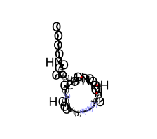 COCCOCCOCCOCCNC(=O)O[C@@H]1CC[C@@H](C[C@@H](C)[C@@H]2CC(=O)[C@H](C)/C=C(\C)[C@@H](O)[C@@H](OC)C(=O)[C@H](C)C[C@H](C)/C=C/C=C/C=C(\C)[C@@H](OC)C[C@@H]3CC[C@@H](C)[C@@](O)(O3)C(=O)C(=O)N3CCCC[C@H]3C(=O)O2)C[C@H]1OC